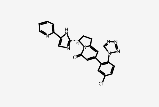 O=c1cc(-c2cc(Cl)ccc2-n2cnnn2)cc2n1[C@H](c1ncc(-c3ccccn3)[nH]1)CC2